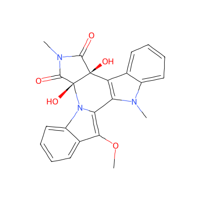 COc1c2n(c3ccccc13)[C@]1(O)C(=O)N(C)C(=O)[C@]1(O)c1c-2n(C)c2ccccc12